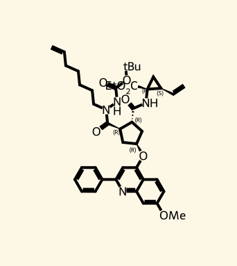 C=CCCCCCN(NC(=O)OC(C)(C)C)C(=O)[C@@H]1C[C@H](Oc2cc(-c3ccccc3)nc3cc(OC)ccc23)C[C@H]1C(=O)N[C@]1(C(=O)OCC)C[C@H]1C=C